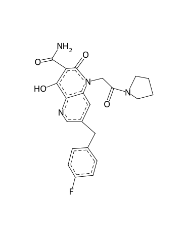 NC(=O)c1c(O)c2ncc(Cc3ccc(F)cc3)cc2n(CC(=O)N2CCCC2)c1=O